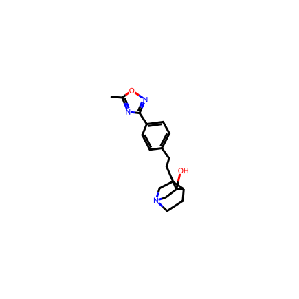 Cc1nc(-c2ccc(CCC3(O)CN4CCC3CC4)cc2)no1